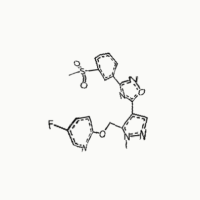 Cn1ncc(-c2nc(-c3cccc(S(C)(=O)=O)c3)no2)c1COc1ccc(F)cn1